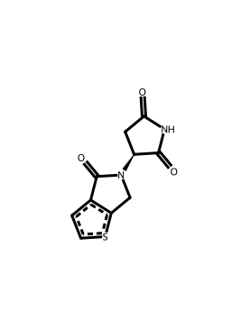 O=C1C[C@H](N2Cc3sccc3C2=O)C(=O)N1